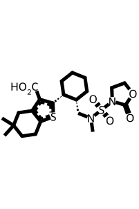 CN(C[C@H]1CCCC[C@H]1c1sc2c(c1C(=O)O)CC(C)(C)CC2)S(=O)(=O)N1CCOC1=O